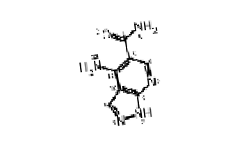 NC(=O)c1cnc2[nH]ncc2c1N